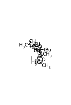 C[SiH](C)O[Si](C)(C)O[SiH](O[Si](C)(C)O[SiH](C)C)C(C)(C)C